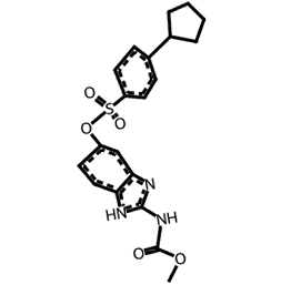 COC(=O)Nc1nc2cc(OS(=O)(=O)c3ccc(C4CCCC4)cc3)ccc2[nH]1